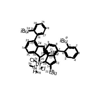 CCC(C)c1ccccc1-c1cccc2c1C=C(C(C)(C)C)[CH]2[Hf]([Cl])([Cl])([CH]1C(C(C)(C)C)=Cc2c(-c3ccccc3C(C)CC)cccc21)[SiH](C)C